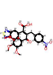 COc1cc(C(=O)/C(Cc2ccc([N+](=O)[O-])cc2)=C(/C(=O)O)c2ccc3nsnc3c2)cc(OC)c1OC